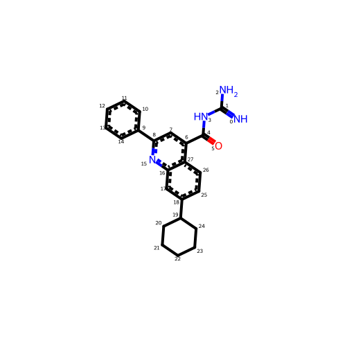 N=C(N)NC(=O)c1cc(-c2ccccc2)nc2cc(C3CCCCC3)ccc12